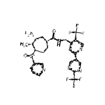 C[C@@H]1C([S+]([O-])c2cccnc2)CC[C@H](C(=O)NCc2cc(-c3cnc(C(F)(F)F)nc3)ncc2C(F)(F)F)C[C@H]1P